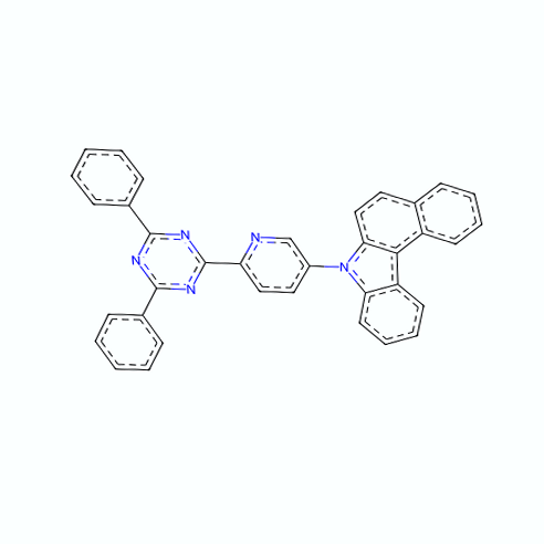 c1ccc(-c2nc(-c3ccccc3)nc(-c3ccc(-n4c5ccccc5c5c6ccccc6ccc54)cn3)n2)cc1